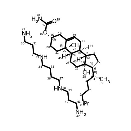 CC(C)CCC[C@@H](C)[C@H]1CC[C@H]2[C@@H]3CC=C4C[C@@H](OC(N)=O)CC[C@]4(C)[C@H]3CC[C@]12C.NCCCNCCCCNCCCN